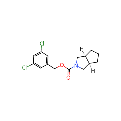 O=C(OCc1cc(Cl)cc(Cl)c1)N1C[C@H]2CCC[C@H]2C1